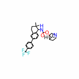 CC1(C)CCc2cc(-c3ccc(C(F)(F)F)cc3)ccc2C1NC(=O)O[C@H]1CN2CCC1CC2